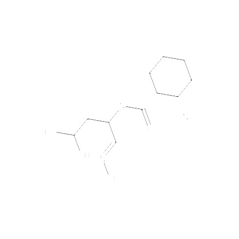 CC(C)CC(C=NO)NC(=O)[C@@H]1CCCC[C@@H]1N